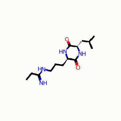 CCC(=N)NCCC[C@H]1NC(=O)[C@H](CC(C)C)NC1=O